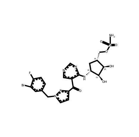 NS(=O)(=O)OC[C@H]1C[C@@H](Nc2ncncc2C(=O)c2ccn(Cc3ccc(F)c(Br)c3)n2)[C@H](O)[C@@H]1O